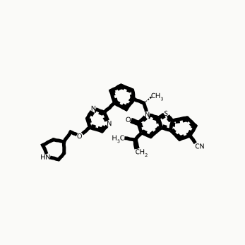 C=C(C)c1cc2c3cc(C#N)ccc3sc2n([C@@H](C)c2cccc(-c3ncc(OCC4CCNCC4)cn3)c2)c1=O